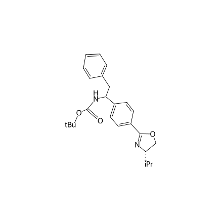 CC(C)[C@H]1COC(c2ccc(C(Cc3ccccc3)NC(=O)OC(C)(C)C)cc2)=N1